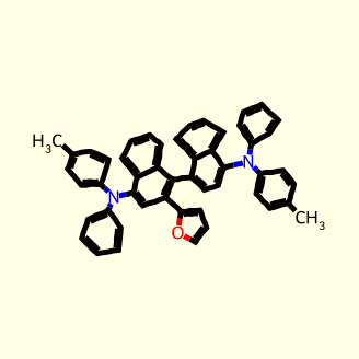 Cc1ccc(N(c2ccccc2)c2ccc(-c3c(-c4ccco4)cc(N(c4ccccc4)c4ccc(C)cc4)c4ccccc34)c3ccccc23)cc1